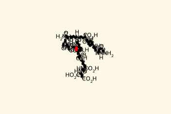 C#CC[C@@H](CN[C@@H](CCCCNC(=O)CC[C@H](NC(=O)c1ccc(NCc2cnc3[nH]c(N)nc(=O)c3n2)cc1)C(=O)O)C(N)=O)NC(=O)[C@H](CC(=O)O)NC(=O)[C@H](CC(=O)O)NC(=O)Cc1ccc(CNC(=O)NCCCC[C@H](NC(=O)N[C@@H](CCC(=O)O)C(=O)O)C(=O)O)cc1